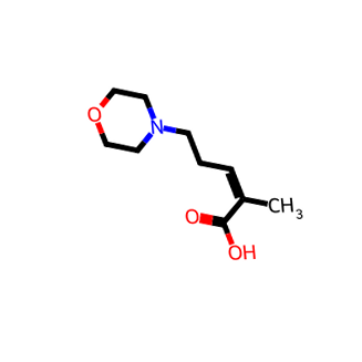 CC(=CCCN1CCOCC1)C(=O)O